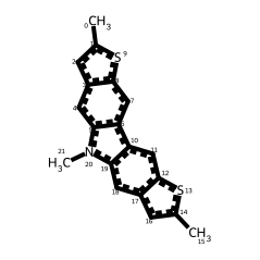 Cc1cc2cc3c(cc2s1)c1cc2sc(C)cc2cc1n3C